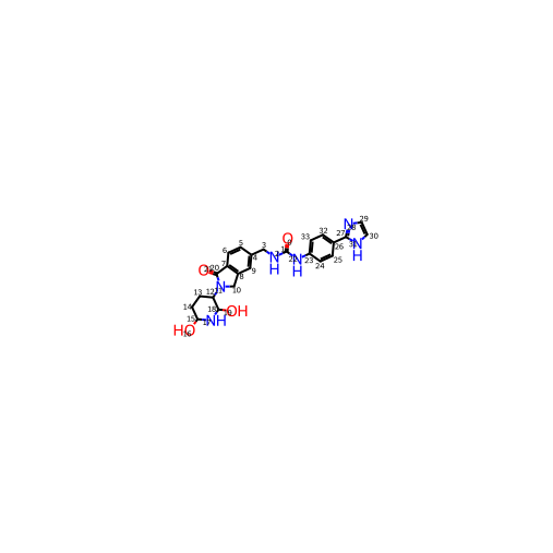 O=C(NCc1ccc2c(c1)CN(C1CCC(O)NC1O)C2=O)Nc1ccc(-c2ncc[nH]2)cc1